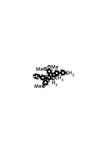 COc1ccc(C2(c3ccc(N4CCOCC4)cc3)C=Cc3c4c(c5cc(OC)c(OC)cc5c3O2)-c2ccc(-c3ccc(C)cc3)cc2C4(C)C)cc1